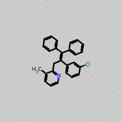 Cc1cccnc1CC(=C(c1ccccc1)c1ccccc1)c1cccc(Cl)c1